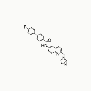 O=C(Nc1ccc2nc(CN3C=NCC3)ccc2c1)c1ccc(-c2ccc(F)cc2)cc1